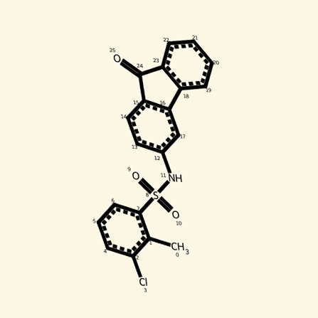 Cc1c(Cl)cccc1S(=O)(=O)Nc1ccc2c(c1)-c1ccccc1C2=O